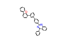 c1ccc(-c2nc(-c3ccc(-c4cccc(-c5cccc6c5oc5ccccc56)c4)cc3)nc3ccccc23)cc1